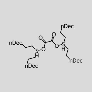 CCCCCCCCCCCC[SH](CCCCCCCCCCCC)OC(=O)C(=O)O[SH](CCCCCCCCCCCC)CCCCCCCCCCCC